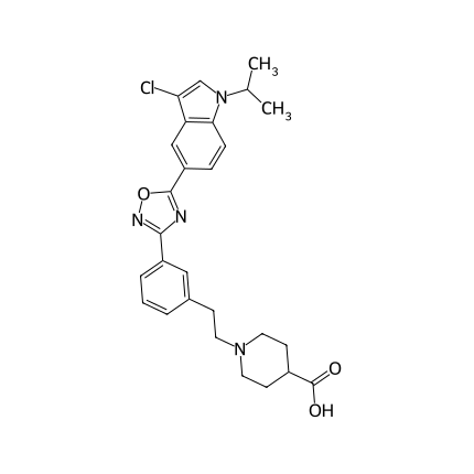 CC(C)n1cc(Cl)c2cc(-c3nc(-c4cccc(CCN5CCC(C(=O)O)CC5)c4)no3)ccc21